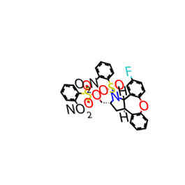 O=[N+]([O-])c1ccccc1S(=O)(=O)OC[C@H]1C[C@@H]2c3ccccc3Oc3ccc(F)cc3[C@H]2N1S(=O)(=O)c1ccccc1[N+](=O)[O-]